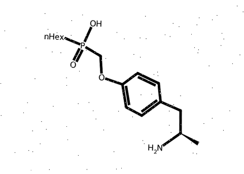 CCCCCCP(=O)(O)COc1ccc(C[C@@H](C)N)cc1